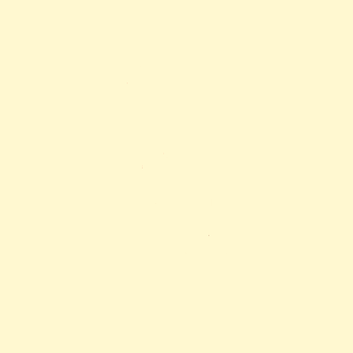 CCCOc1ccc(OC(=O)c2ccc(C3OCC(CCC)CO3)c(F)c2)cc1